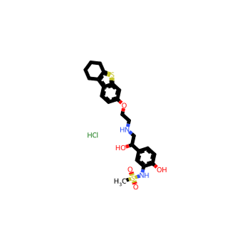 CS(=O)(=O)Nc1cc(C(O)CNCCOc2ccc3c4c(sc3c2)CCCC4)ccc1O.Cl